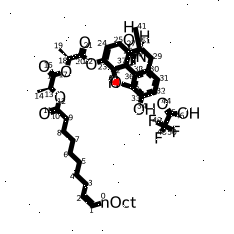 CCCCCCCC/C=C\CCCCCCCC(=O)O[C@@H](C)C(=O)O[C@@H](C)C(=O)OC1=CC[C@@]2(O)[C@H]3Cc4ccc(O)c5c4[C@@]2(CCN3C)[C@H]1O5.O=C(O)C(F)(F)F